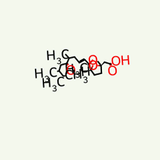 CC(C/C=C/[C@]1(C)OC[C@]2(CC(=O)O)CC[C@H]1O2)C(=O)CC(C)C(C)C